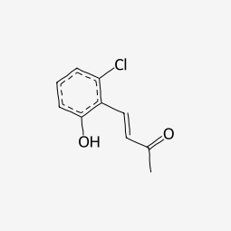 CC(=O)/C=C/c1c(O)cccc1Cl